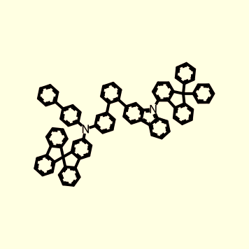 c1ccc(-c2ccc(N(c3cccc(-c4ccccc4-c4ccc5c6ccccc6n(-c6cccc7c6-c6ccccc6C7(c6ccccc6)c6ccccc6)c5c4)c3)c3ccc4c(c3)C3(c5ccccc5-c5ccccc53)c3ccccc3-4)cc2)cc1